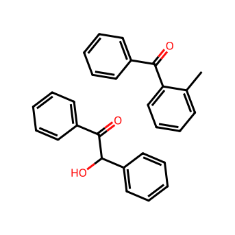 Cc1ccccc1C(=O)c1ccccc1.O=C(c1ccccc1)C(O)c1ccccc1